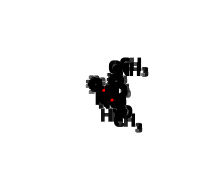 CNC(=O)c1ccc2c(c1)CCc1cc(C(=O)NC)ccc1C2(C[C@@H](N)C1CCCC1)c1nnn[nH]1